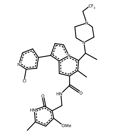 COc1cc(C)[nH]c(=O)c1CNC(=O)c1cc2c(-c3ccnc(Cl)c3)ccn2c(C(C)N2CCN(CC(F)(F)F)CC2)c1C